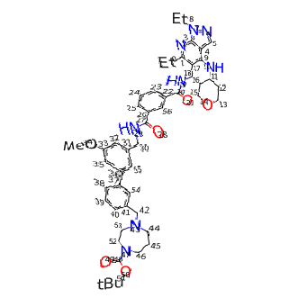 CCc1nc2c(cnn2CC)c(NC2CCOCC2)c1CNC(=O)c1cccc(C(=O)NCc2cc(OC)cc(-c3cccc(CN4CCCN(C(=O)OC(C)(C)C)CC4)c3)c2)c1